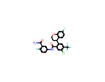 NC(=O)c1cc(NC(=O)c2cc(Cl)c(C(F)(F)F)cc2C2CCOc3cc(F)ccc32)ccc1F